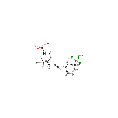 CC1(C)CN(C(=O)O)CC/C1=C\C#Cc1cccc(C(F)(F)F)c1